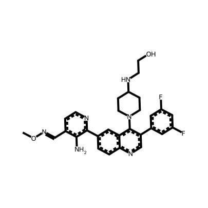 CO/N=C/c1ccnc(-c2ccc3ncc(-c4cc(F)cc(F)c4)c(N4CCC(NCCO)CC4)c3c2)c1N